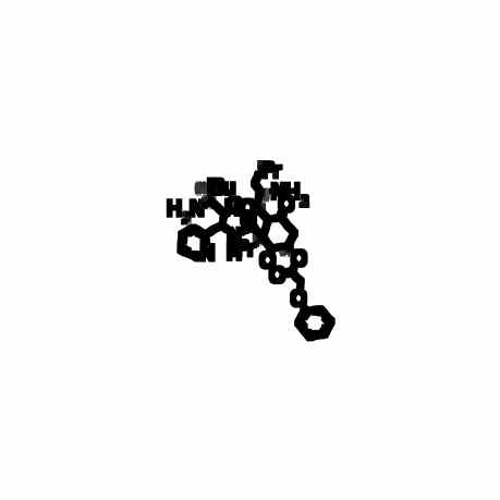 CC[C@H](C)[C@H](N)C(=O)C(NC(=O)[C@]1(C(C)C)C(=O)[C@@H](OC(=O)COc2ccccc2)CC(=O)C1[C@H](O)[C@@H](N)CC(C)C)c1ccccn1